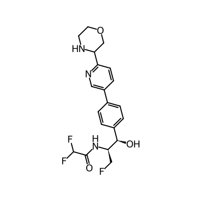 O=C(N[C@H](CF)[C@H](O)c1ccc(-c2ccc(C3COCCN3)nc2)cc1)C(F)F